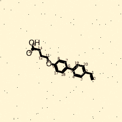 [CH]=Cc1ccc(-c2ccc(OCCCC(=O)O)cc2)cc1